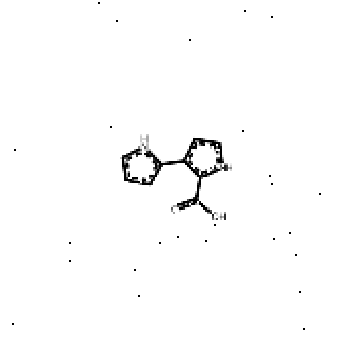 O=C(O)c1[nH]ccc1-c1ccc[nH]1